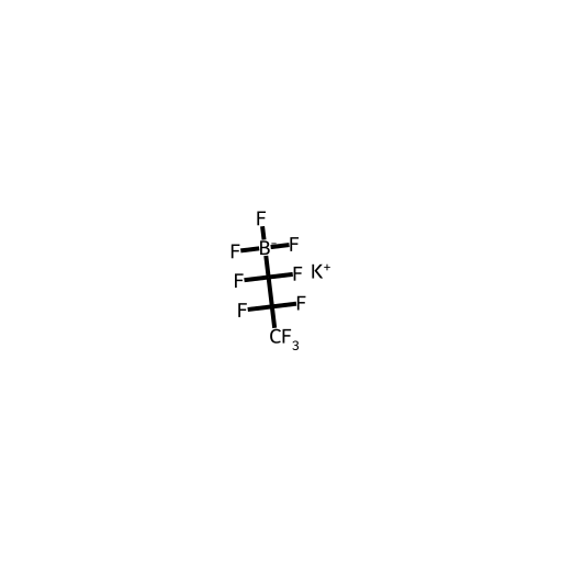 F[B-](F)(F)C(F)(F)C(F)(F)C(F)(F)F.[K+]